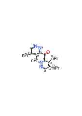 CCCc1cnnc(C(=O)c2nncc(CCC)c2CCC)c1CCC